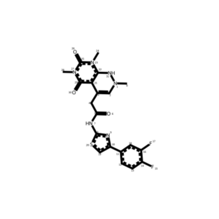 CN1C=C(CC(=O)Nc2nc(-c3ccc(F)c(F)c3)cs2)c2c(n(C)c(=O)n(C)c2=O)N1